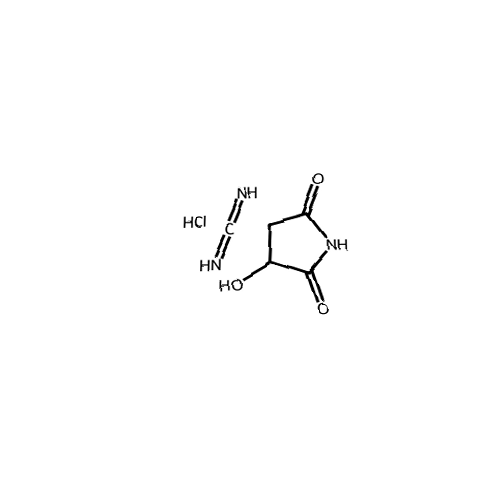 Cl.N=C=N.O=C1CC(O)C(=O)N1